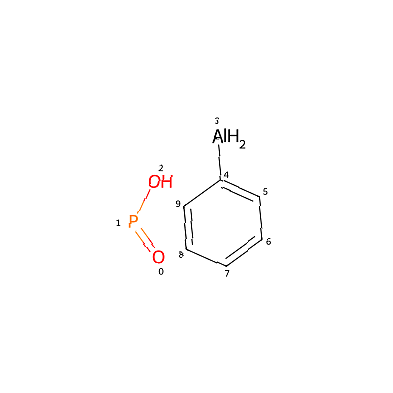 O=PO.[AlH2][c]1ccccc1